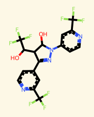 OC1C(C(O)C(F)(F)F)C(c2ccnc(C(F)(F)F)c2)=NN1c1ccnc(C(F)(F)F)c1